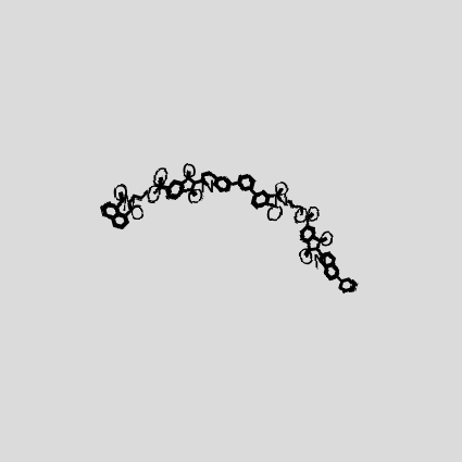 O=C(OCCCN1C(=O)c2ccc(-c3cccc(-c4ccc5nc(C6C(=O)c7ccc(C(=O)OCCCN8C(=O)c9cccc%10cccc(c9%10)C8=O)cc7C6=O)ccc5c4)c3)cc2C1=O)c1ccc2c(c1)C(=O)C(c1ccc3cc(-c4ccccc4)ccc3n1)C2=O